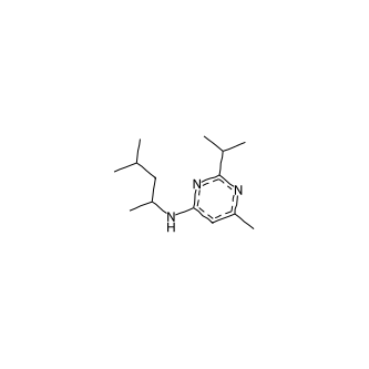 Cc1cc(NC(C)CC(C)C)nc(C(C)C)n1